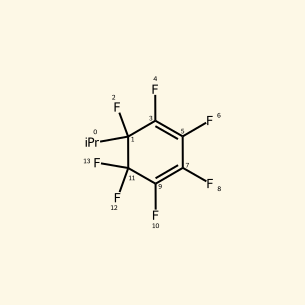 CC(C)C1(F)C(F)=C(F)C(F)=C(F)C1(F)F